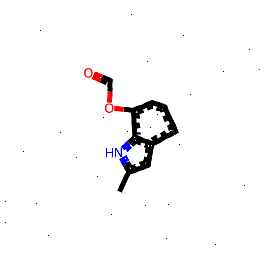 Cc1cc2cccc(OC=O)c2[nH]1